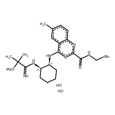 COC(C)(C)C(=N)N[C@@H]1CCCC[C@@H]1Nc1nc(C(=O)NCC(C)(C)C)nc2ccc(C)cc12.Cl.Cl